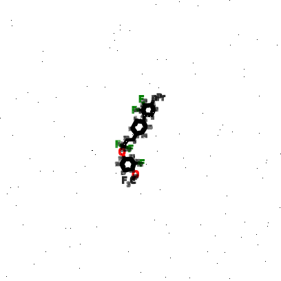 CCCc1ccc(-c2ccc(CCC(F)(F)Oc3ccc(OC(F)(F)F)c(F)c3)cc2)c(F)c1F